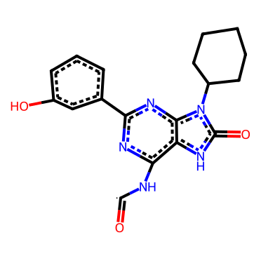 O=[C]Nc1nc(-c2cccc(O)c2)nc2c1[nH]c(=O)n2C1CCCCC1